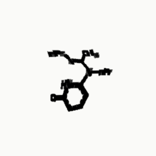 CCCN=C(C)N(CCC)c1cccc(=O)[nH]1